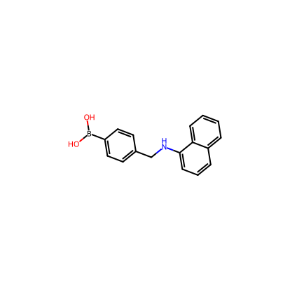 OB(O)c1ccc(CNc2cccc3ccccc23)cc1